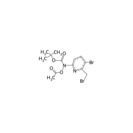 CC(=O)ON(C(=O)OC(C)(C)C)c1ccc(Br)c(CBr)n1